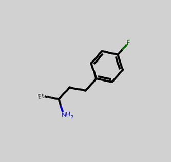 CCC(N)CCc1ccc(F)cc1